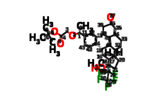 CC(OCC(=O)OC(C)(C)C)c1ccc([C@H]2C[C@@]3(C)[C@@H](CC[C@@]3(O)C(F)(F)C(F)(F)F)[C@@H]3CCC4=CC(=O)CCC4=C32)cc1